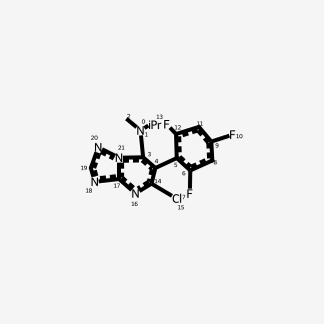 CC(C)N(C)c1c(-c2c(F)cc(F)cc2F)c(Cl)nc2ncnn12